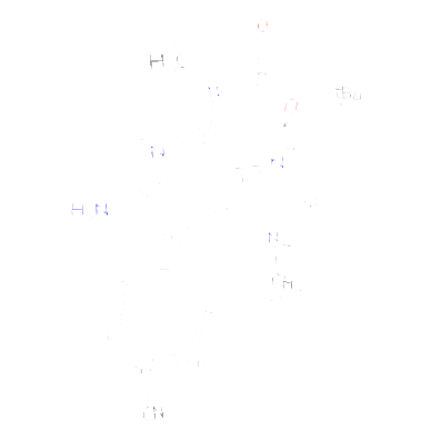 CN(C(=O)OC(C)(C)C)c1nc(N)c(-c2ccc(C#N)cc2)c2c1ncn2C